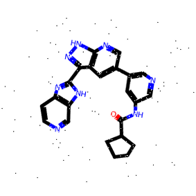 O=C(Nc1cncc(-c2cnc3[nH]nc(-c4nc5ccncc5[nH]4)c3c2)c1)C1CCCC1